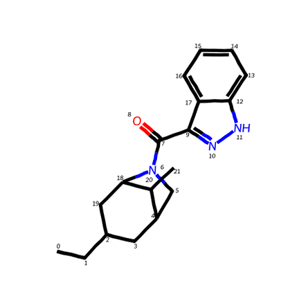 CCC1CC2CN(C(=O)c3n[nH]c4ccccc34)C(C1)C2C